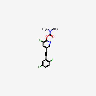 CN(C(=O)Oc1ncc(C#Cc2cc(F)ccc2F)cc1F)C(C)(C)C